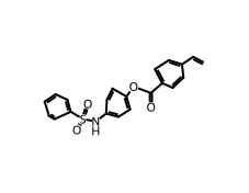 C=Cc1ccc(C(=O)Oc2ccc(NS(=O)(=O)c3ccccc3)cc2)cc1